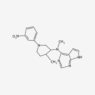 CC1CCN(c2cccc([N+](=O)[O-])c2)CC1N(C)c1ncnc2[nH]ccc12